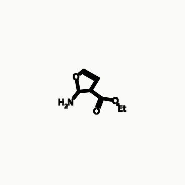 CCOC(=O)C1C=COC1N